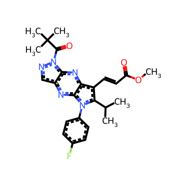 COC(=O)/C=C/c1c(C(C)C)n(-c2ccc(F)cc2)c2nc3cnn(C(=O)C(C)(C)C)c3nc12